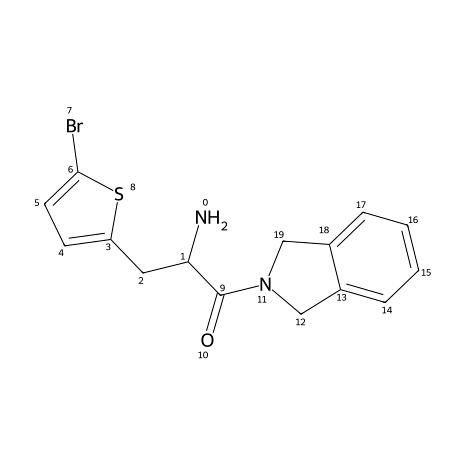 NC(Cc1ccc(Br)s1)C(=O)N1Cc2ccccc2C1